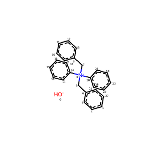 [OH-].c1ccc(C[N+](Cc2ccccc2)(c2ccccc2)c2ccccc2)cc1